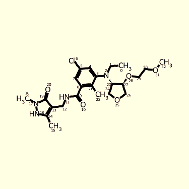 CCN(c1cc(Cl)cc(C(=O)NCc2c(C)[nH]n(C)c2=O)c1C)[C@H]1COC[C@@H]1OCCOC